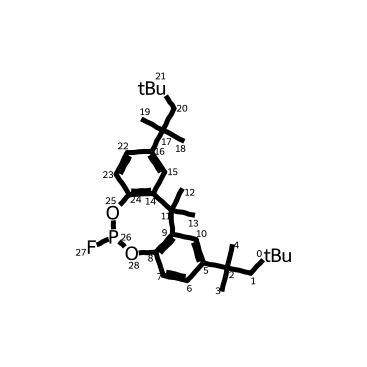 CC(C)(C)CC(C)(C)c1ccc2c(c1)C(C)(C)c1cc(C(C)(C)CC(C)(C)C)ccc1OP(F)O2